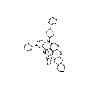 c1ccc(-c2ccc(N(c3ccc4c(c3)C3(c5cc6ccccc6cc5S4)c4ccccc4-c4ccccc43)c3ccc(-c4ccccc4)cc3-c3ccccc3)cc2)cc1